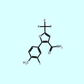 Cc1ccc(-c2oc(C(F)(F)F)cc2C(N)=O)cc1I